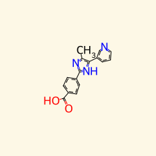 Cc1nc(-c2ccc(C(=O)O)cc2)[nH]c1-c1cccnc1